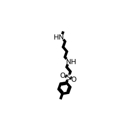 CNCCCCNCCS(=O)(=O)c1ccc(C)cc1